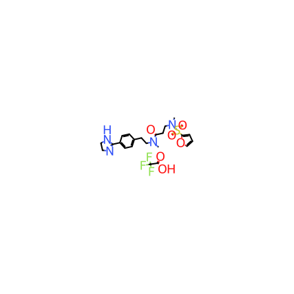 CN(CCc1ccc(C2=NCCN2)cc1)C(=O)CCN(C)S(=O)(=O)c1ccco1.O=C(O)C(F)(F)F